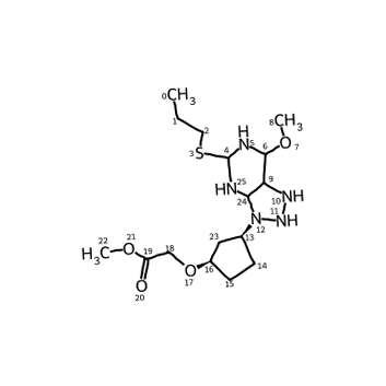 CCCSC1NC(OC)C2NNN([C@H]3CC[C@@H](OCC(=O)OC)C3)C2N1